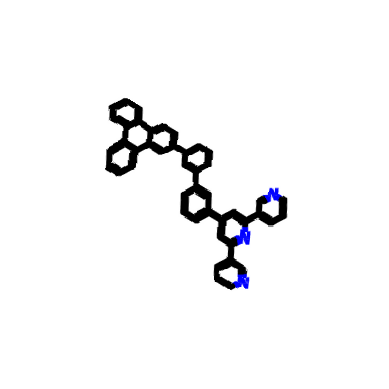 c1cc(-c2cccc(-c3ccc4c5ccccc5c5ccccc5c4c3)c2)cc(-c2cc(-c3cccnc3)nc(-c3cccnc3)c2)c1